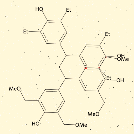 CCc1cc(C(CC(c2cc(COC)c(O)c(COC)c2)c2cc(COC)c(O)c(COC)c2)c2cc(CC)c(O)c(CC)c2)cc(CC)c1O